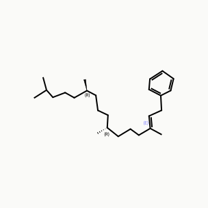 C/C(=C\Cc1ccccc1)CCC[C@H](C)CCC[C@H](C)CCCC(C)C